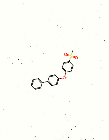 CS(=O)(=O)c1ccc(Oc2ccc(-c3ccccc3)cc2)cc1